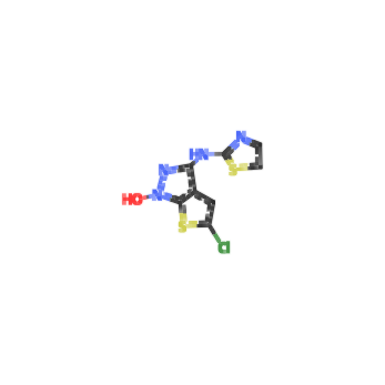 On1nc(Nc2nccs2)c2cc(Cl)sc21